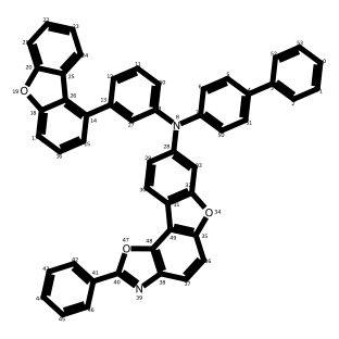 c1ccc(-c2ccc(N(c3cccc(-c4cccc5oc6ccccc6c45)c3)c3ccc4c(c3)oc3ccc5nc(-c6ccccc6)oc5c34)cc2)cc1